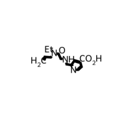 C=CCN(CC)C(=O)CNCc1cc(C(=O)O)ccn1